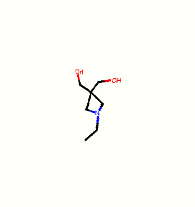 CCN1CC(CO)(CO)C1